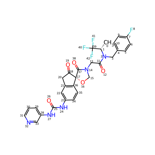 C[C@H](N(Cc1ccc(F)cc1)C(=O)CN1CO[C@]2(C(=O)Cc3cc(NC(=O)Nc4cccnc4)ccc32)C1=O)C(F)(F)F